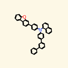 c1ccc(-c2cccc(-c3ccc(N(c4ccc(-c5ccc6c(c5)oc5ccccc56)cc4)c4cccc5ccccc45)cc3)c2)cc1